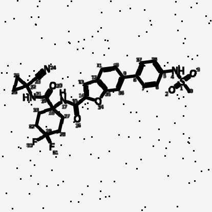 CS(=O)(=O)Nc1ccc(-c2ccc3cc(C(=O)NC4(C(=O)NC5(C#N)CC5)CCC(F)(F)CC4)oc3c2)cc1